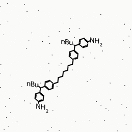 CCCCC(c1ccc(N)cc1)c1ccc(CCCCCCCc2ccc(C(CCCC)c3ccc(N)cc3)cc2)cc1